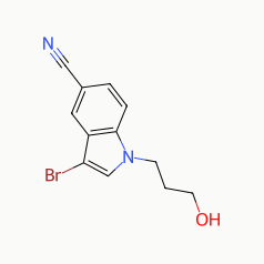 N#Cc1ccc2c(c1)c(Br)cn2CCCO